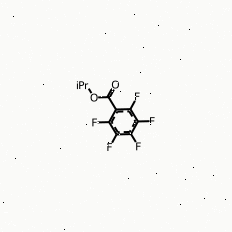 CC(C)OC(=O)c1c(F)c(F)c(F)c(F)c1F